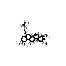 CCNC(=O)OCCC[C@]12CCC(C)(C)CC1C1C(=O)C=C3[C@@]4(C)C=C(C#N)C(=O)C(C)(C)C4CC[C@@]3(C)[C@]1(C)CC2